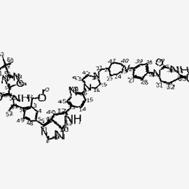 COCc1cc(-c2ncnc3[nH]c(-c4ccc(N5CCN(CC6CCN(c7ccc(N8CCC(=O)NC8=O)cc7)CC6)CC5)nc4)cc23)ccc1C(C)NC(=O)c1nc(C(C)(C)C)no1